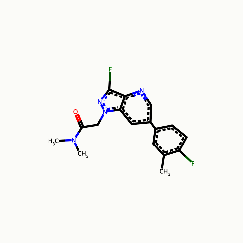 Cc1cc(-c2cnc3c(F)nn(CC(=O)N(C)C)c3c2)ccc1F